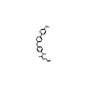 C=CC/N=C(/C)Nc1ccc(CC2=CC=C(c3ccc(C(C)(C)C)cn3)CC2)cc1